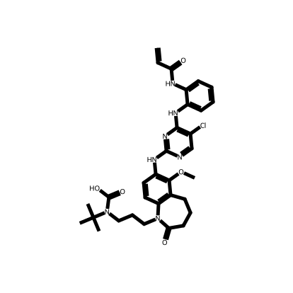 C=CC(=O)Nc1ccccc1Nc1nc(Nc2ccc3c(c2OC)CCCC(=O)N3CCCN(C(=O)O)C(C)(C)C)ncc1Cl